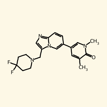 Cc1cc(-c2ccc3ncc(CN4CCC(F)(F)CC4)n3c2)cn(C)c1=O